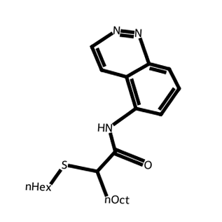 CCCCCCCCC(SCCCCCC)C(=O)Nc1cccc2nnccc12